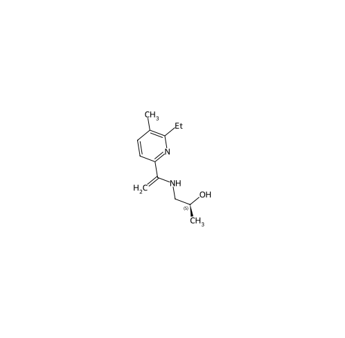 C=C(NC[C@H](C)O)c1ccc(C)c(CC)n1